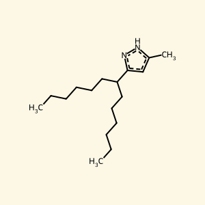 CCCCCCC(CCCCCC)c1cc(C)[nH]n1